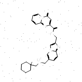 O=C(NCc1cn2cc(CNCC3(O)CCCCC3)ccc2n1)c1cc(=O)n2ccccc2n1